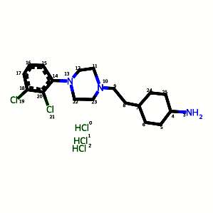 Cl.Cl.Cl.NC1CCC(CCN2CCN(c3cccc(Cl)c3Cl)CC2)CC1